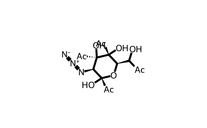 CC(=O)C(O)[C@H]1O[C@@](O)(C(C)=O)[C@@H](N=[N+]=[N-])[C@](O)(C(C)=O)[C@@]1(O)C(C)=O